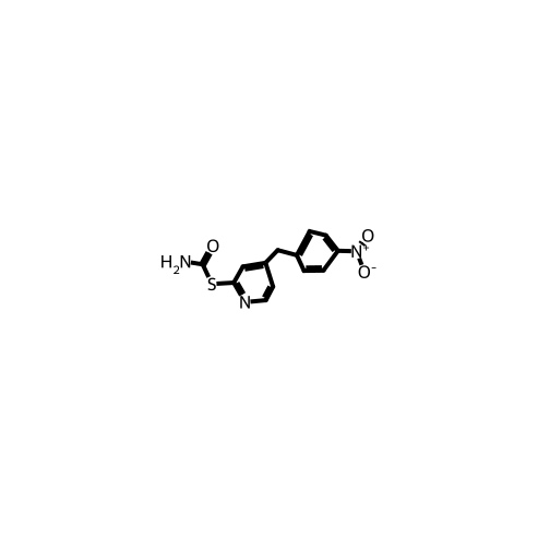 NC(=O)Sc1cc(Cc2ccc([N+](=O)[O-])cc2)ccn1